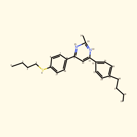 CCCCSc1ccc(-c2cc(-c3ccc(CCCC)cc3)nc(C)n2)cc1